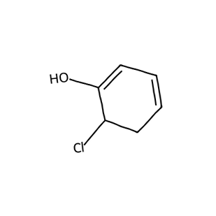 OC1=CC=CCC1Cl